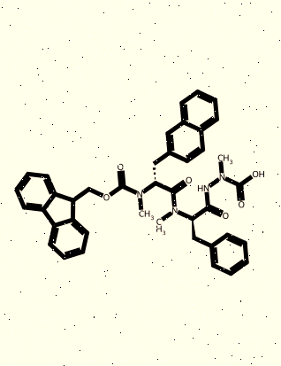 CN(NC(=O)[C@@H](Cc1ccccc1)N(C)C(=O)[C@@H](Cc1ccc2ccccc2c1)N(C)C(=O)OCC1c2ccccc2-c2ccccc21)C(=O)O